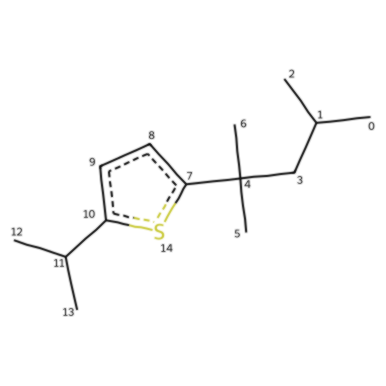 CC(C)CC(C)(C)c1ccc(C(C)C)s1